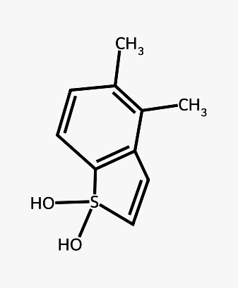 Cc1ccc2c(c1C)C=CS2(O)O